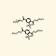 CCCC(C)COC(=O)c1ccc(C(=O)OCC(C)CCC)c(S(=O)(=O)[O-])c1.CCCC(C)COC(=O)c1ccc(C(=O)OCC(C)CCC)c(S(=O)(=O)[O-])c1.[Ca+2]